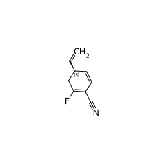 C=C[C@H]1C=CC(C#N)=C(F)C1